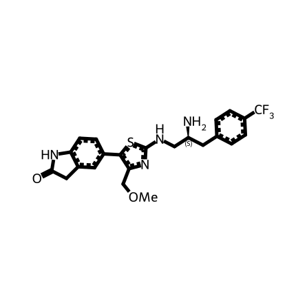 COCc1nc(NC[C@@H](N)Cc2ccc(C(F)(F)F)cc2)sc1-c1ccc2c(c1)CC(=O)N2